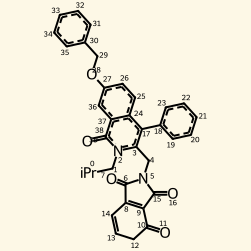 CC(C)Cn1c(CN2C(=O)C3=C(C(=O)CC=C3)C2=O)c(-c2ccccc2)c2ccc(OCc3ccccc3)cc2c1=O